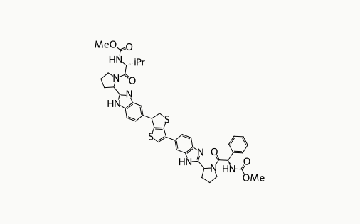 COC(=O)N[C@@H](C(=O)N1CCCC1c1nc2ccc(-c3csc4c3SCC4c3ccc4[nH]c(C5CCCN5C(=O)[C@H](NC(=O)OC)C(C)C)nc4c3)cc2[nH]1)c1ccccc1